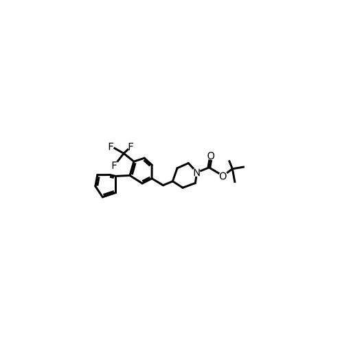 CC(C)(C)OC(=O)N1CCC(Cc2ccc(C(F)(F)F)c(-c3ccccc3)c2)CC1